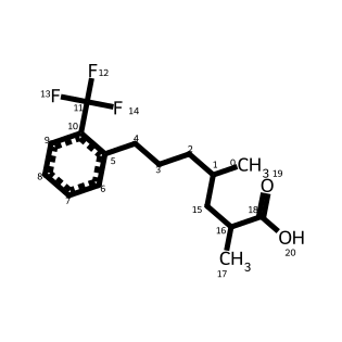 CC(CCCc1ccccc1C(F)(F)F)CC(C)C(=O)O